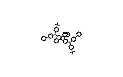 CC(C)(C)c1ccc(N(c2ccc(-c3ccccc3)cc2)c2ccc3c(c2)C2(c4cc(N(c5ccc(-c6ccccc6)cc5)c5ccc(C(C)(C)C)cc5)c5ccccc5c4-3)C3CC4CC(C3)CC2C4)cc1